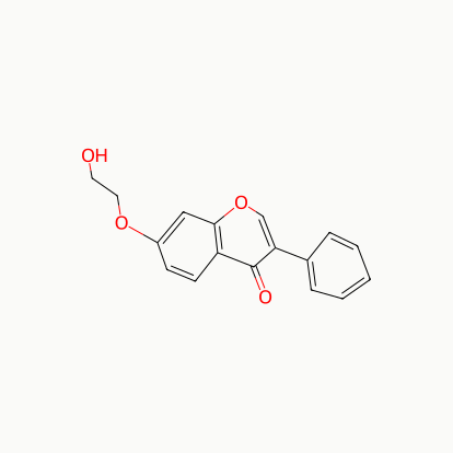 O=c1c(-c2ccccc2)coc2cc(OCCO)ccc12